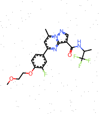 COCCOc1ccc(-c2cc(C)n3ncc(C(=O)NC(C)C(F)(F)F)c3n2)cc1F